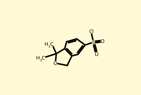 CC1(C)OCc2cc(S(=O)(=O)Cl)ccc21